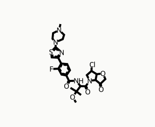 COC(C)(C)C(NC(=O)c1ccc(-c2csc(N3CCN(C)CC3)n2)c(F)c1)C(=O)N1CC(Cl)C2OCC(=O)C21